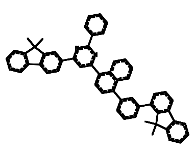 CC1(C)c2ccccc2-c2ccc(-c3cc(-c4ccc(-c5cccc(-c6cccc7c6C(C)(C)c6ccccc6-7)c5)c5ccccc45)nc(-c4ccccc4)n3)cc21